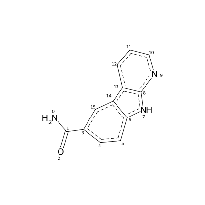 NC(=O)c1ccc2[nH]c3ncccc3c2c1